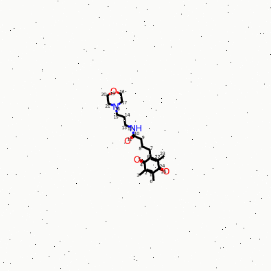 CC1=C(C)C(=O)C(CCCC(=O)NCCCN2CCOCC2)=C(C)C1=O